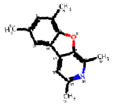 Cc1cc(C)c2oc3c(C)nc(C)cc3c2c1